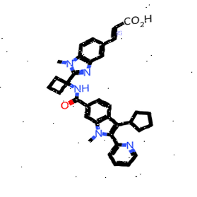 Cn1c(C2(NC(=O)c3ccc4c(C5CCCC5)c(-c5ccccn5)n(C)c4c3)CCC2)nc2cc(/C=C/C(=O)O)ccc21